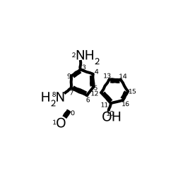 C=O.Nc1cccc(N)c1.Oc1ccccc1